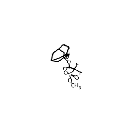 COS(=O)(=O)C(F)(F)C(=O)OC12CC3CC(C1)C(=O)C(C3)C2